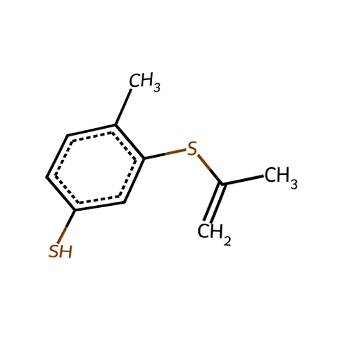 C=C(C)Sc1cc(S)ccc1C